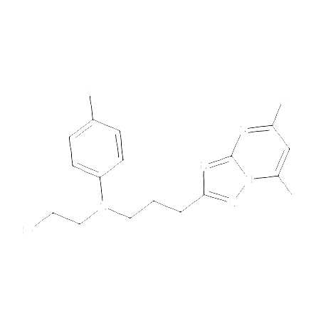 CCc1cc(CC)n2nc(CCCN(CCO)c3ccc(F)cc3)nc2n1